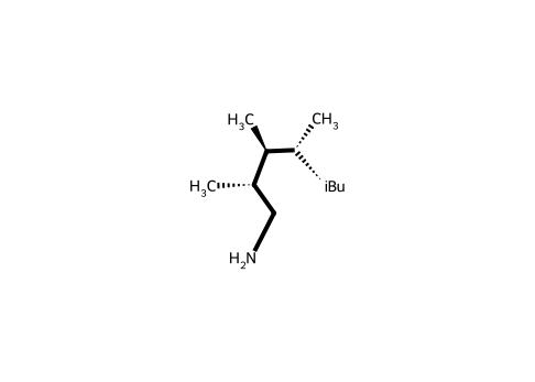 CC[C@@H](C)[C@@H](C)[C@H](C)[C@@H](C)CN